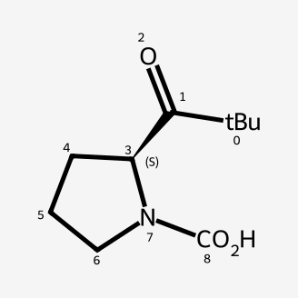 CC(C)(C)C(=O)[C@@H]1CCCN1C(=O)O